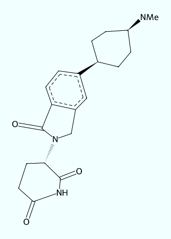 CN[C@H]1CC[C@@H](c2ccc3c(c2)CN([C@H]2CCC(=O)NC2=O)C3=O)CC1